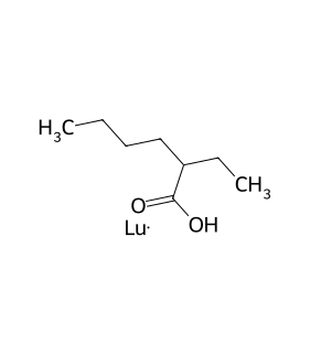 CCCCC(CC)C(=O)O.[Lu]